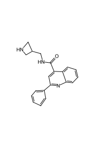 O=C(NCC1CNC1)c1cc(-c2ccccc2)nc2ccccc12